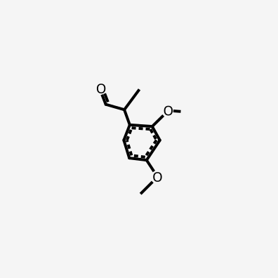 COc1ccc(C(C)C=O)c(OC)c1